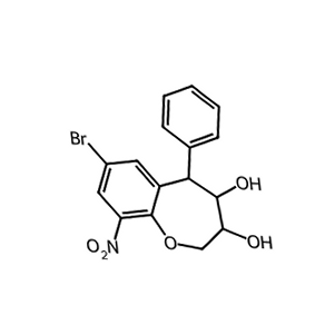 O=[N+]([O-])c1cc(Br)cc2c1OCC(O)C(O)C2c1ccccc1